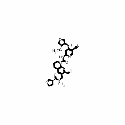 CO[C@@H]1COCC1Nc1cc(NC(=O)N2CCCc3cc(CN(C)C(=O)[C@H]4CCOC4)c(C=O)nc32)ncc1C#N